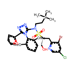 COc1cccc(OC)c1-n1c(-c2ccco2)nnc1N(CC[Si](C)(C)C)S(=O)(=O)[C@@H](CO)Cc1ncc(Cl)cc1Br